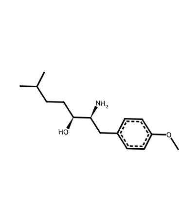 COc1ccc(C[C@H](N)[C@@H](O)CCC(C)C)cc1